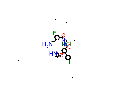 Cl.NCCc1cc(F)cc(C(=O)N2CCN(C(=O)c3ccc(O[C@H]4CCNC4)c(-c4ccc(F)cc4)c3)CC2)c1